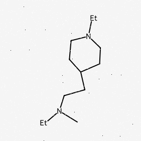 CCN(C)CCC1CCN(CC)CC1